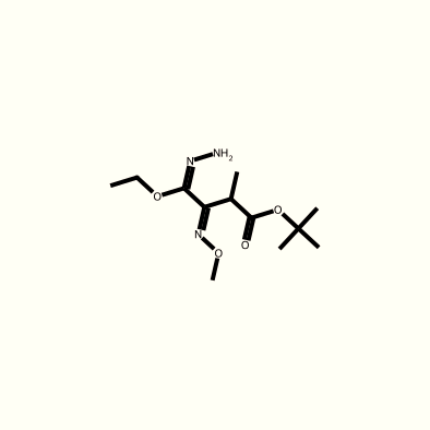 CCOC(=NN)C(=NOC)C(C)C(=O)OC(C)(C)C